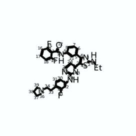 CCNc1nc(-c2cccc(NC(=O)c3c(F)cccc3F)c2)c(-c2ccnc(Nc3ccc(CCN4CCCC4)c(F)c3)n2)s1